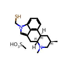 CS(=O)(=O)O.C[C@@H]1C[C@@H]2c3cccc4c3c(cn4CS)C[C@H]2N(C)C1